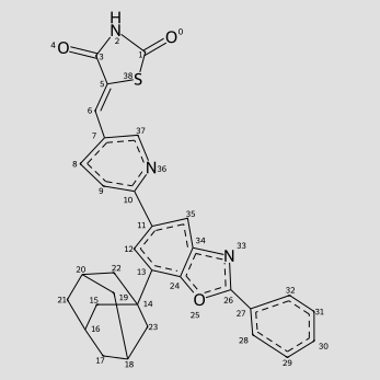 O=C1NC(=O)C(=Cc2ccc(-c3cc(C45CC6CC(CC(C6)C4)C5)c4oc(-c5ccccc5)nc4c3)nc2)S1